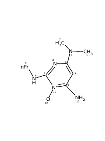 CCCNc1nc(N(C)C)cc(N)[n+]1[O-]